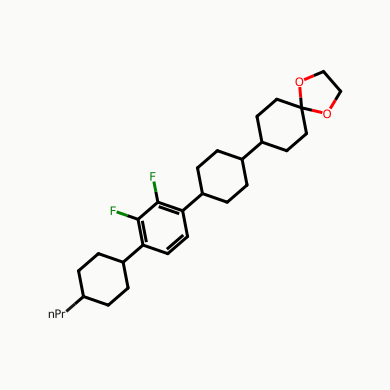 CCCC1CCC(c2ccc(C3CCC(C4CCC5(CC4)OCCO5)CC3)c(F)c2F)CC1